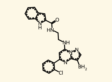 Bc1cnn2c(NCCNC(=O)c3cc4ccccc4[nH]3)cc(-c3ccccc3Cl)nc12